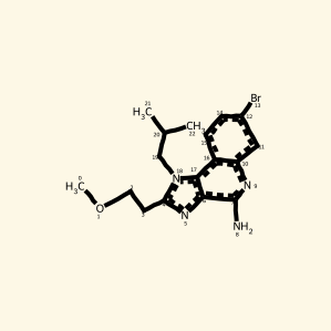 COCCc1nc2c(N)nc3cc(Br)ccc3c2n1CC(C)C